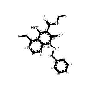 CCOC(=O)c1c(O)c2c(CC)ncnc2n(OCc2ccccc2)c1=O